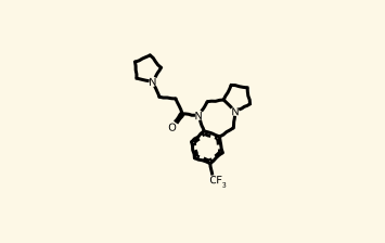 O=C(CCN1CCCC1)N1CC2CCCN2Cc2cc(C(F)(F)F)ccc21